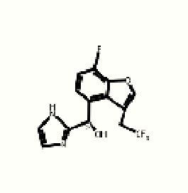 O[C@@H](c1ncc[nH]1)c1ccc(F)c2occ(CC(F)(F)F)c12